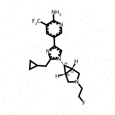 Nc1ncc(-c2cn([C@@H]3[C@@H]4CN(CCF)C[C@@H]43)c(CC3CC3)n2)cc1C(F)(F)F